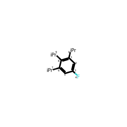 CC(C)c1cc(F)cc(C(C)C)c1C(C)C